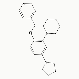 c1ccc(COc2ccc(N3CCCC3)cc2N2CCCCC2)cc1